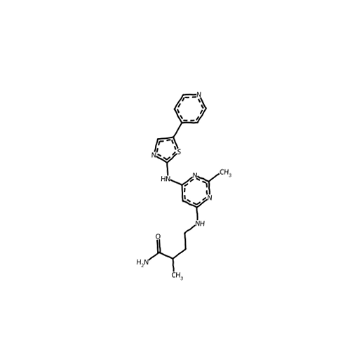 Cc1nc(NCCC(C)C(N)=O)cc(Nc2ncc(-c3ccncc3)s2)n1